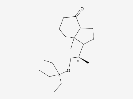 CC[Si](CC)(CC)OC[C@H](C)C1CCC2C(=O)CCCC21C